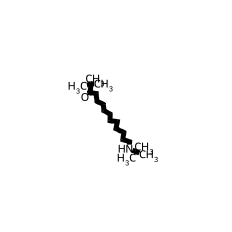 CC(C)(C)NCCCCCCCCCCCC(=O)C(C)(C)C